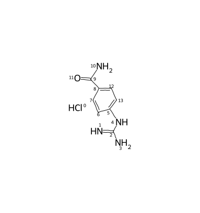 Cl.N=C(N)Nc1ccc(C(N)=O)cc1